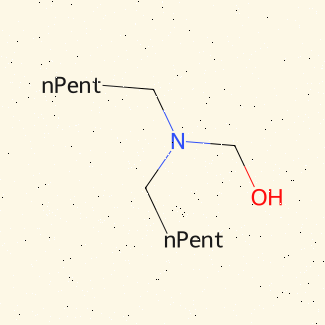 CCCCCCN(CO)CCCCCC